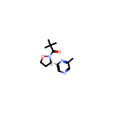 Cc1cncc([C@@H]2CCON2C(=O)C(C)(C)C)n1